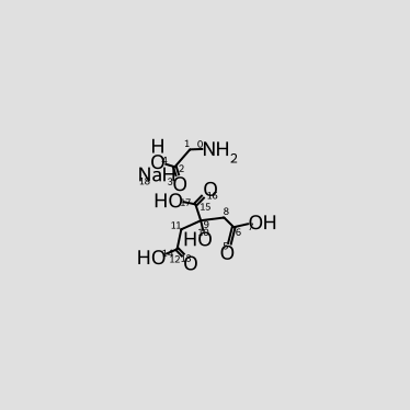 NCC(=O)O.O=C(O)CC(O)(CC(=O)O)C(=O)O.[NaH]